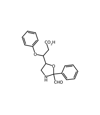 O=CC1(c2ccccc2)NCC(C(CC(=O)O)Oc2ccccc2)O1